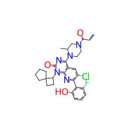 C=CC(=O)N1CCN(c2nc(=O)n(C3CCC34CCCC4)c3nc(-c4c(O)cccc4F)c(Cl)cc23)C(C)C1